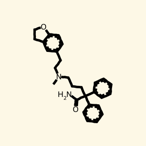 CN(CCCC(C(N)=O)(c1ccccc1)c1ccccc1)CCc1ccc2c(c1)CCO2